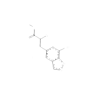 COC(=O)C(N)Cc1cc(C)c2[nH]ncc2c1.Cl